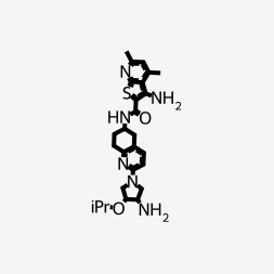 Cc1cc(C)c2c(N)c(C(=O)NC3CCc4nc(N5CC(N)C(OC(C)C)C5)ccc4C3)sc2n1